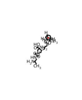 CCC(N)CNS(=O)(=O)N1C[C@H](CCCB2O[C@H]3C[C@H]4C[C@H](C4(C)C)[C@@]3(C)O2)[C@](N)(C(=O)O)C1